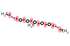 C=CC(=O)OCCCOC(=O)Oc1ccc(C(=O)Oc2ccc(C(=O)Oc3ccc(OC(=O)c4ccc(OC(=O)c5ccc(OC(=O)OCCCOC(=O)C=C)cc5)cc4)c(C)c3)cc2)cc1